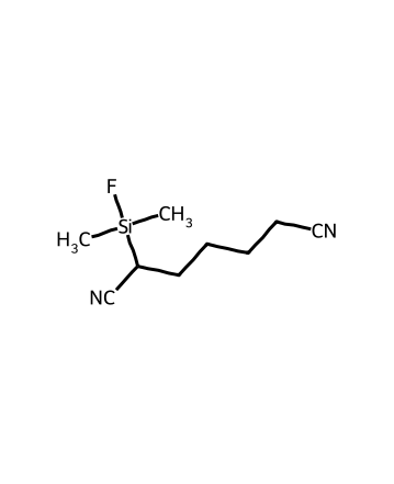 C[Si](C)(F)C(C#N)CCCCC#N